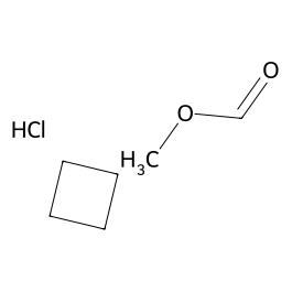 C1CCC1.COC=O.Cl